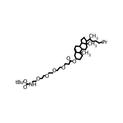 CC(C)CCCC(C)C1CCC2C3CC=C4CC(OC(=O)CCOCCOCCOCCOCCNC(=O)OC(C)(C)C)CCC4(C)C3CCC12C